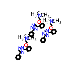 CN(C)CCOc1ccccc1-c1cnnc(-c2ccccc2)n1.CN(C)CCOc1ccccc1-c1ncnc(-c2ccccc2)n1.CN(C)CCOc1ccccc1-c1nncc(-c2ccccc2)n1